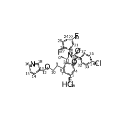 C[C@H](c1ccc(F)cc1CCOCc1cccnc1)N(c1cc(F)ccc1F)S(=O)(=O)c1ccc(Cl)cc1.Cl